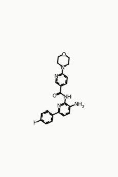 Nc1ccc(-c2ccc(F)cc2)nc1NC(=O)c1ccc(N2CCOCC2)nc1